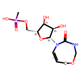 CP(=O)(O)OC[C@H]1O[C@@H](N2/C=C\COCNC2=O)[C@H](O)[C@@H]1O